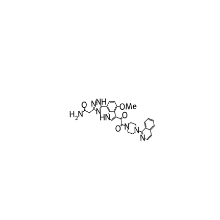 COc1ccc(-c2nc(CC(N)=O)n[nH]2)c2[nH]cc(C(=O)C(=O)N3CCN(c4nccc5ccccc45)CC3)c12